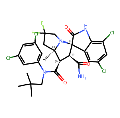 CC(C)(C)CN(C(=O)[C@H]1[C@H]2CC(F)(F)CN2[C@]2(C(=O)Nc3c(Cl)cc(Cl)cc32)[C@H]1C(N)=O)c1cc(Cl)cc(Cl)c1